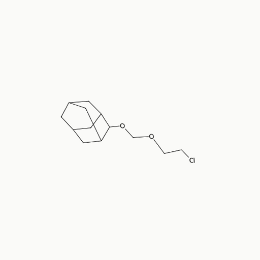 ClCCOCOC1C2CC3CC(C2)CC1C3